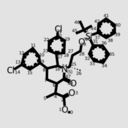 COC(=O)C(C)C1CC(c2cccc(Cl)c2)C(c2ccc(Cl)cc2)N([C@@H](C)CCO[Si](c2ccccc2)(c2ccccc2)C(C)(C)C)C1=O